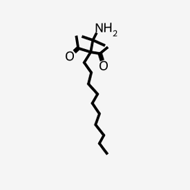 CCCCCCCCCCC(C(C)=O)(C(C)=O)C(C)(C)N